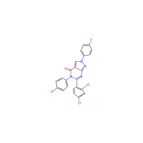 O=c1c2cn(-c3ccc(F)cc3)nc2nc(-c2ccc(Cl)cc2Cl)n1-c1ccc(Cl)cc1